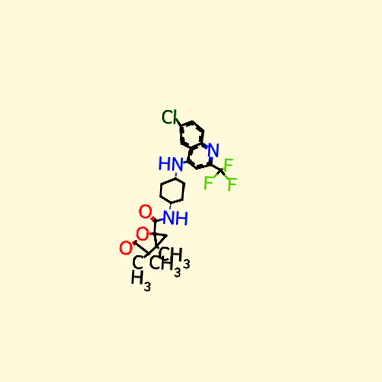 CC1(C)C(=O)OC2(C(=O)N[C@H]3CC[C@@H](Nc4cc(C(F)(F)F)nc5ccc(Cl)cc45)CC3)C[C@@]12C